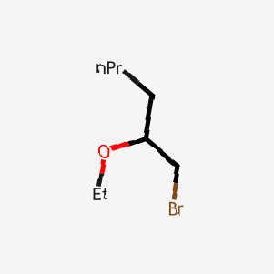 CCCCC(CBr)OCC